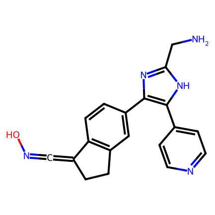 NCc1nc(-c2ccc3c(c2)CCC3=C=NO)c(-c2ccncc2)[nH]1